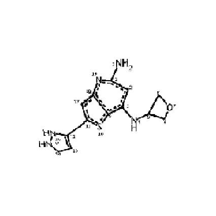 Nc1cc(NC2COC2)c2sc(C3=CCNN3)cc2n1